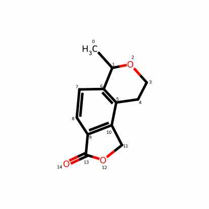 CC1OCCc2c1ccc1c2COC1=O